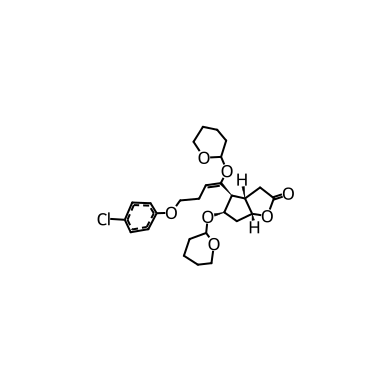 O=C1C[C@H]2[C@H](/C(=C\CCOc3ccc(Cl)cc3)OC3CCCCO3)[C@H](OC3CCCCO3)C[C@H]2O1